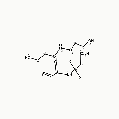 C=CC(=O)NC(C)(C)CS(=O)(=O)O.OCCONOCCO